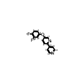 Fc1ccc(Oc2ccc(-c3ccncc3)nc2)cc1F